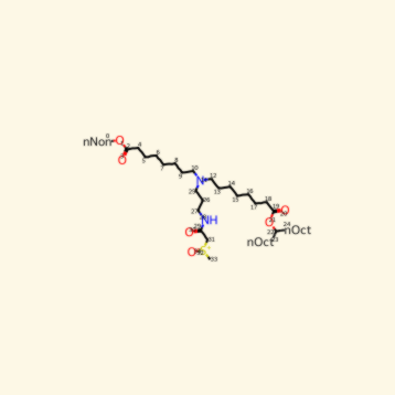 CCCCCCCCCOC(=O)CCCCCCCN(CCCCCCCC(=O)OC(CCCCCCCC)CCCCCCCC)CCCNC(=O)C[S+](C)[O-]